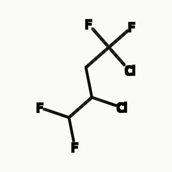 FC(F)C(Cl)CC(F)(F)Cl